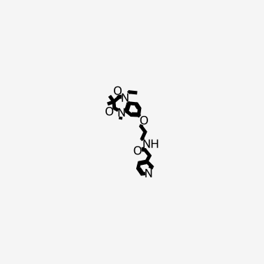 CCN1C(=O)C(C)(C)C(=O)N(C)c2cc(OCCCNC(=O)Cc3cccnc3)ccc21